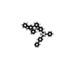 c1ccc(-c2ccc(-c3nc(-c4ccccc4)nc(-c4ccc5c6cccc(-c7ccc8sc9ccccc9c8c7)c6n(-c6ccccc6)c5c4)n3)cc2)cc1